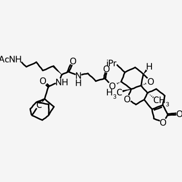 CC(=O)NCCCC[C@H](NC(=O)C12CC3CC(CC1C3)C2)C(=O)NCCC(=O)O[C@@H]1C(C(C)C)C[C@@H]2O[C@@]23[C@@]2(C)CCC4=C(COC4=O)C2CO[C@]13C